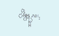 NCC1CCNCC1OC(=O)Nc1ccccc1-c1cccs1